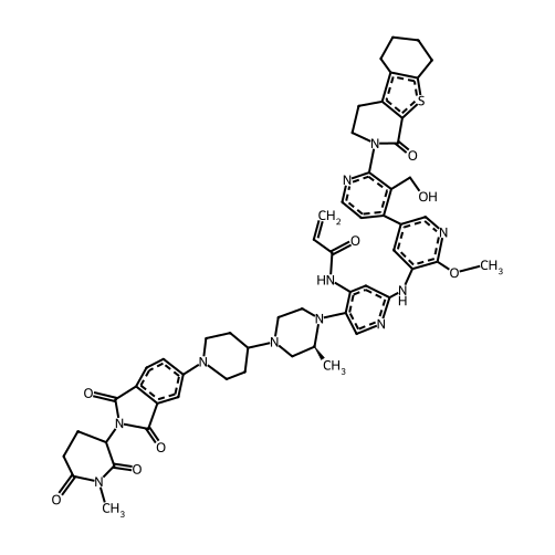 C=CC(=O)Nc1cc(Nc2cc(-c3ccnc(N4CCc5c(sc6c5CCCC6)C4=O)c3CO)cnc2OC)ncc1N1CCN(C2CCN(c3ccc4c(c3)C(=O)N(C3CCC(=O)N(C)C3=O)C4=O)CC2)C[C@@H]1C